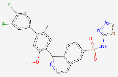 COc1cc(-c2ccc(F)c(F)c2)c(C)cc1-c1nccc2cc(S(=O)(=O)Nc3nncs3)ccc12